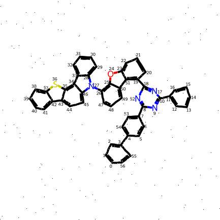 c1ccc(-c2ccc(-c3nc(-c4ccccc4)nc(-c4cccc5oc6c(-n7c8ccccc8c8c9sc%10ccccc%10c9ccc87)cccc6c45)n3)cc2)cc1